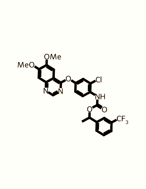 COc1cc2ncnc(Oc3ccc(NC(=O)OC(C)c4cccc(C(F)(F)F)c4)c(Cl)c3)c2cc1OC